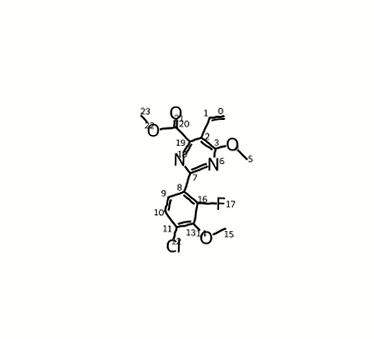 C=Cc1c(OC)nc(-c2ccc(Cl)c(OC)c2F)nc1C(=O)OC